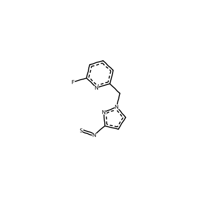 Fc1cccc(Cn2ccc(N=S)n2)n1